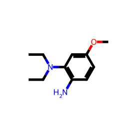 CCN(CC)c1cc(OC)ccc1N